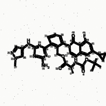 C[C@H](NC(=O)OC(C)(C)C)C(=O)OCc1c(-c2nc(N)nc(Nc3cnn(C)c3)n2)cccc1-n1ccc2cc(C3CC3)cc(F)c2c1=O